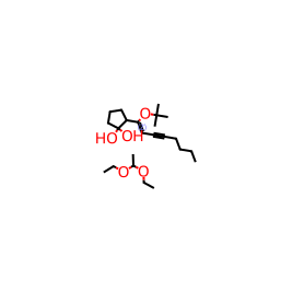 CCCCC#C/C=C(\OC(C)(C)C)C1CCCC1(O)O.CCOC(C)OCC